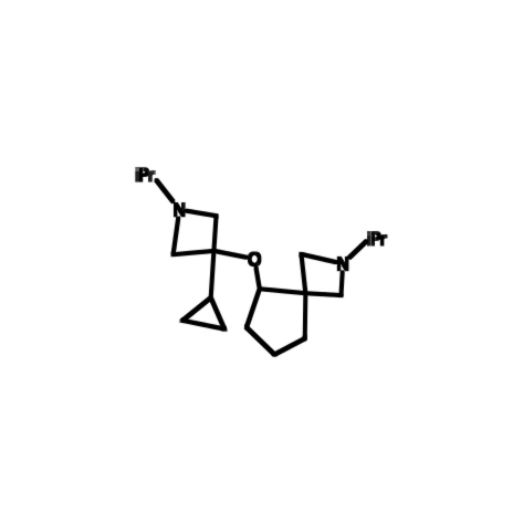 CC(C)N1CC2(CCCC2OC2(C3CC3)CN(C(C)C)C2)C1